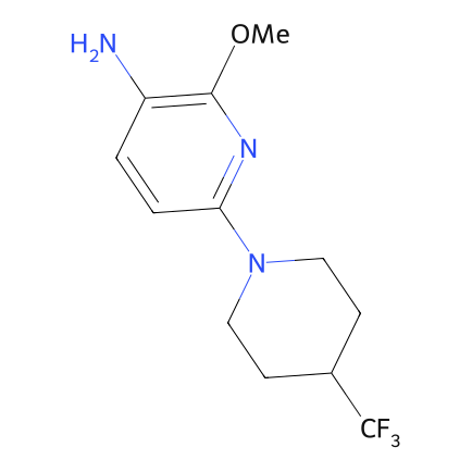 COc1nc(N2CCC(C(F)(F)F)CC2)ccc1N